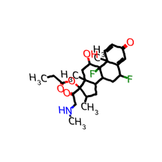 CCC(=O)OC1(C(=O)CNC)C(C)CC2C3CC(F)C4=CC(=O)C=CC4(C)C3(F)C(O)CC21C